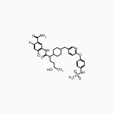 CCCCN(C(=O)Nc1cc(C(N)=O)c(F)cc1Cl)C1CCN(Cc2ccc(Oc3ccc(NS(C)(=O)=O)cc3)nc2)CC1.Cl